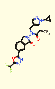 O=C(CC(F)(F)F)N(Cc1cnn(C2CC2)c1)N1Cc2ccc(-c3nnc(C(F)F)o3)cc2C1=O